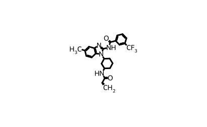 C=CC(=O)NC1CCCC(n2c(NC(=O)c3cccc(C(F)(F)F)c3)nc3cc(C)ccc32)C1